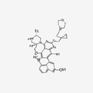 C#Cc1cccc2cc(O)cc(-c3c(F)c4c5c(nc(OCC6(CN7CCOCC7)CC6)nc5c3CC)N3C[C@@H](CC)NC[C@H]3CO4)c12